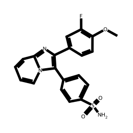 COc1ccc(-c2nc3ccccn3c2-c2ccc(S(N)(=O)=O)cc2)cc1F